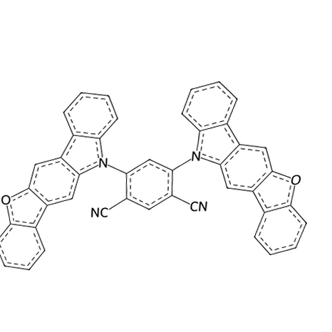 N#Cc1cc(C#N)c(-n2c3ccccc3c3cc4oc5ccccc5c4cc32)cc1-n1c2ccccc2c2cc3oc4ccccc4c3cc21